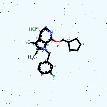 Cc1c(C)n(Cc2cccc(F)c2)c2c(OCC3CCCC3)nccc12.Cl